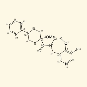 COC1(C(=O)N2CCOc3c(F)cncc3C2)CCN(c2ncccn2)CC1